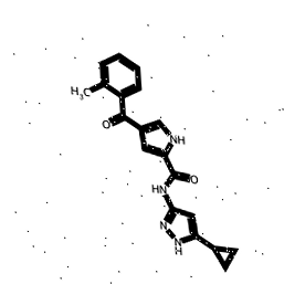 Cc1ccccc1C(=O)c1c[nH]c(C(=O)Nc2cc(C3CC3)[nH]n2)c1